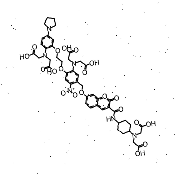 O=C(O)CN(CC(=O)O)c1ccc(N2CCCC2)cc1OCCOc1cc([N+](=O)[O-])c(COc2ccc3cc(C(=O)NC4CCC(N(CC(=O)O)CC(=O)O)CC4)c(=O)oc3c2)cc1N(CC(=O)O)CC(=O)O